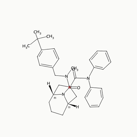 CN(Cc1ccc(C(C)(C)C)cc1)C(=O)N1[C@@H]2CCC[C@H]1CN(C(=O)N(c1ccccc1)c1ccccc1)C2